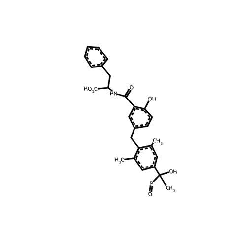 Cc1cc(C(C)(O)P=O)cc(C)c1Cc1ccc(O)c(C(=O)NC(Cc2ccccc2)C(=O)O)c1